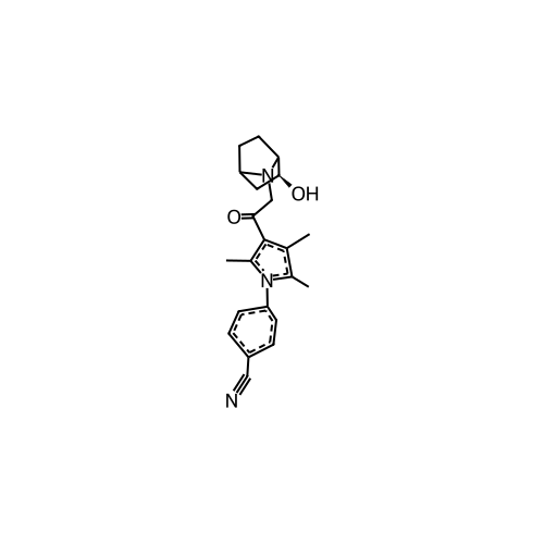 Cc1c(C(=O)CN2C3CCC2[C@@H](O)C3)c(C)n(-c2ccc(C#N)cc2)c1C